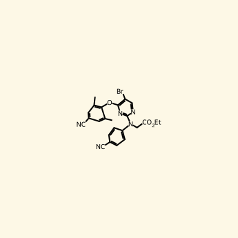 CCOC(=O)CN(c1ccc(C#N)cc1)c1ncc(Br)c(Oc2c(C)cc(C#N)cc2C)n1